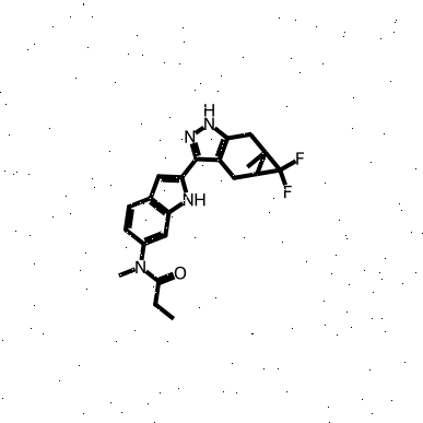 CCC(=O)N(C)c1ccc2cc(-c3n[nH]c4c3CC3C(F)(F)C3(C)C4)[nH]c2c1